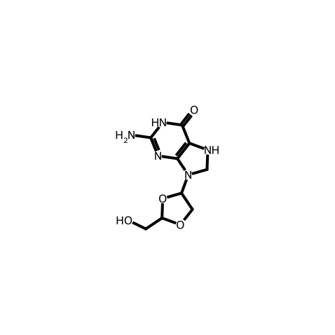 Nc1nc2c(c(=O)[nH]1)NCN2C1COC(CO)O1